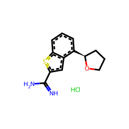 Cl.N=C(N)c1cc2c([C@H]3CCCO3)cccc2s1